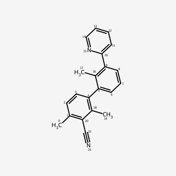 Cc1ccc(-c2cccc(-c3ccccn3)c2C)c(C)c1C#N